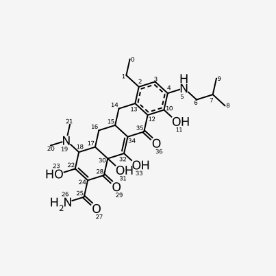 CCc1cc(NCC(C)C)c(O)c2c1CC1CC3C(N(C)C)C(O)=C(C(N)=O)C(=O)C3(O)C(O)=C1C2=O